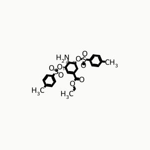 CCOC(=O)C1=C[C@H](OS(=O)(=O)c2ccc(C)cc2)[C@H](N)[C@H](OS(=O)(=O)c2ccc(C)cc2)C1